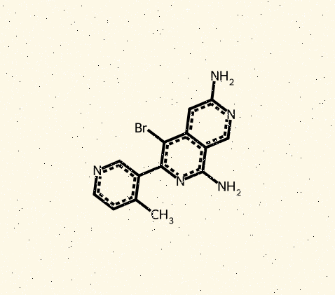 Cc1ccncc1-c1nc(N)c2cnc(N)cc2c1Br